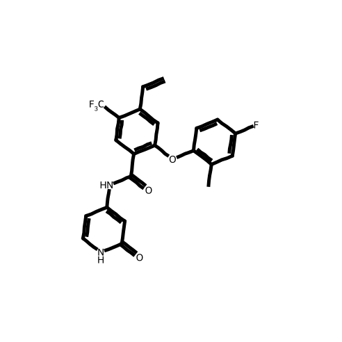 C=Cc1cc(Oc2ccc(F)cc2C)c(C(=O)Nc2cc[nH]c(=O)c2)cc1C(F)(F)F